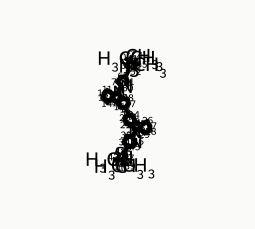 CC1(C)N=C(c2ccc(-n3c4ccccc4c4cc(-c5ccc6c(c5)c5ccccc5n6-c5ccc(C6=NC(C)(C)C(C)(C)S6)cn5)ccc43)nc2)SC1(C)C